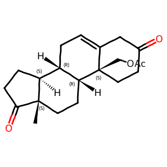 CC(=O)OC[C@]12CCC(=O)CC1=CC[C@@H]1[C@H]2CC[C@]2(C)C(=O)CC[C@@H]12